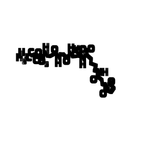 CC(C)(C)OC(=O)NCC(=O)NCC(=O)NCC(=O)NC(CCCCNC(=O)CCN1C(=O)C=CC1=O)C(=O)O